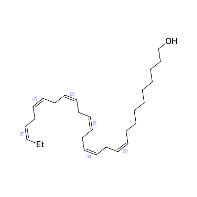 CC/C=C\C/C=C\C/C=C\C/C=C\C/C=C\C/C=C\CCCCCCCCCO